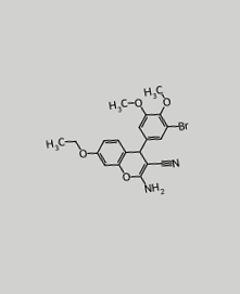 CCOc1ccc2c(c1)OC(N)=C(C#N)C2c1cc(Br)c(OC)c(OC)c1